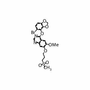 COc1cc2c(Oc3c(Br)ccc4c3OCO4)ncnc2cc1OCCCS(C)(=O)=O